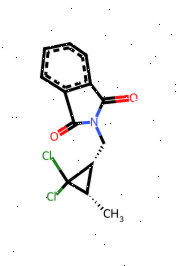 C[C@H]1[C@@H](CN2C(=O)c3ccccc3C2=O)C1(Cl)Cl